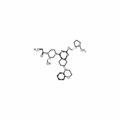 C=CC(=O)N1CCN(c2nc(OC[C@@H]3CCCN3C)nc3c2CC[C@@H](N2CCOc4ccccc42)C3)C[C@@H]1CC#N